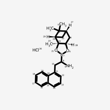 CC1(C)[C@@H]2C[C@H]3OB(C(N)Cc4cccc5ccccc45)O[C@@]3(C)[C@H]1C2.Cl